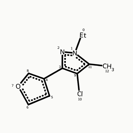 CCn1nc(-c2ccoc2)c(Cl)c1C